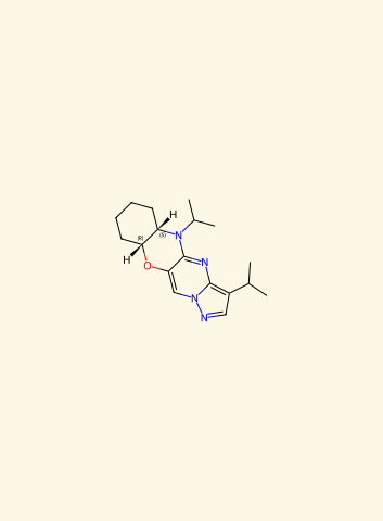 CC(C)c1cnn2cc3c(nc12)N(C(C)C)[C@H]1CCCC[C@H]1O3